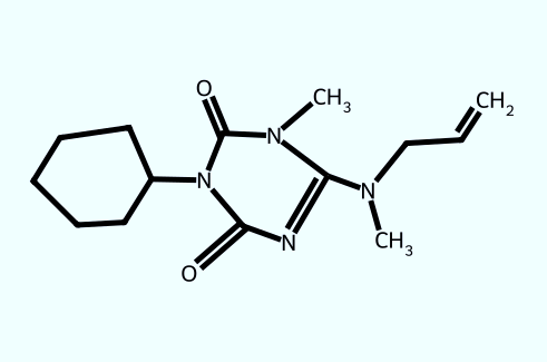 C=CCN(C)c1nc(=O)n(C2CCCCC2)c(=O)n1C